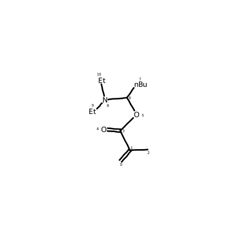 C=C(C)C(=O)OC(CCCC)N(CC)CC